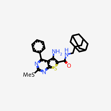 CSc1nc(-c2ccccc2)c2c(N)c(C(=O)NCC34CC5CC(CC(C5)C3)C4)sc2n1